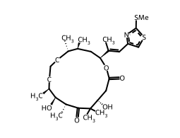 CSc1nc(/C=C(\C)[C@@H]2C[C@H](C)[C@@H](C)CCC[C@H](C)[C@H](O)[C@@H](C)C(=O)C(C)(C)[C@@H](O)CC(=O)O2)cs1